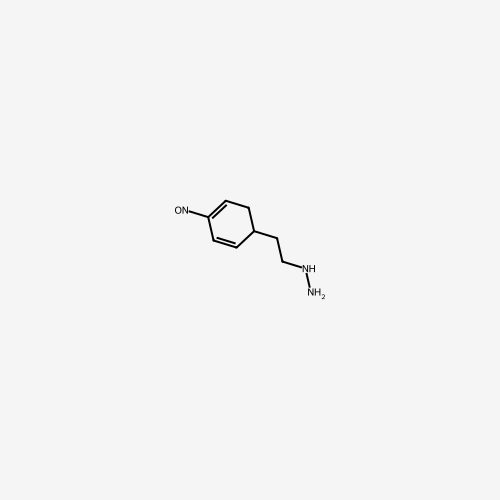 NNCCC1C=CC(N=O)=CC1